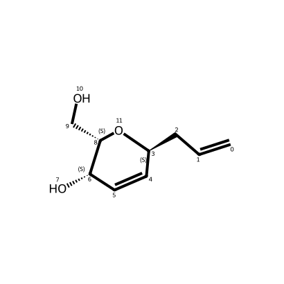 C=CC[C@H]1C=C[C@H](O)[C@H](CO)O1